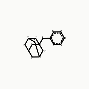 [c]1ccc(CC23CC4CC(CC(C4)C2)C3)cc1